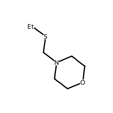 CCSCN1CCOCC1